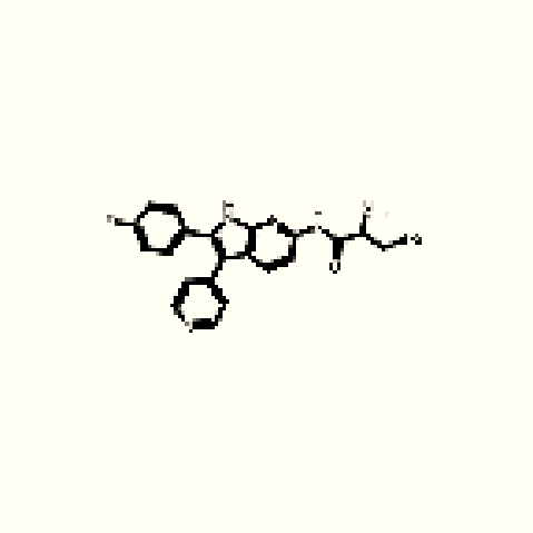 CC(C)(C)CC(N)C(=O)Nc1ccc2c(-c3ccncc3)c(-c3ccc(F)cc3)[nH]c2n1